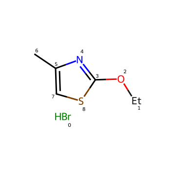 Br.CCOc1nc(C)cs1